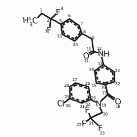 CCC(F)(F)c1ccc(CC(=O)Nc2ccc(C(=O)N(CC(F)(F)F)c3cccc(Cl)c3)cc2)cc1